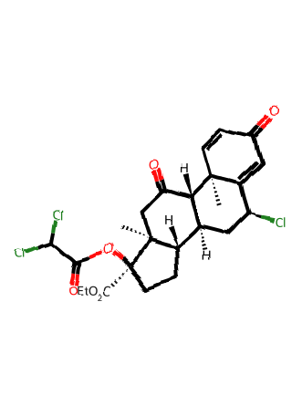 CCOC(=O)[C@@]1(OC(=O)C(Cl)Cl)CC[C@H]2[C@@H]3C[C@H](Cl)C4=CC(=O)C=C[C@]4(C)[C@H]3C(=O)C[C@@]21C